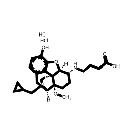 CO[C@@]12CC[C@@H](NCCCC(=O)O)[C@@H]3Oc4c(O)ccc5c4[C@@]31CCN(CC1CC1)[C@@H]2C5.Cl.Cl